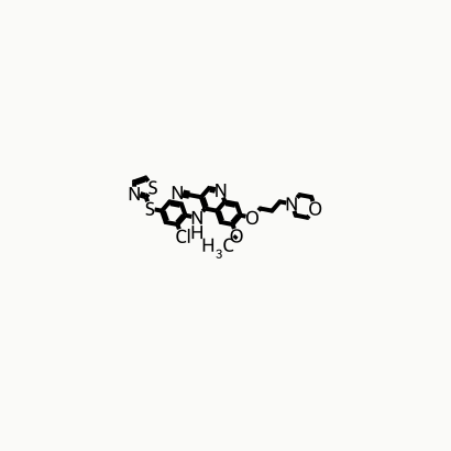 COc1cc2c(Nc3ccc(Sc4nccs4)cc3Cl)c(C#N)cnc2cc1OCCCN1CCOCC1